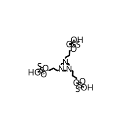 O=S(O)(=S)OCCCN1CN(CCCOS(=O)(O)=S)CN(CCCOS(=O)(O)=S)C1